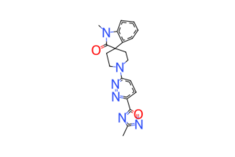 Cc1noc(-c2ccc(N3CCC4(CC3)C(=O)N(C)c3ccccc34)nn2)n1